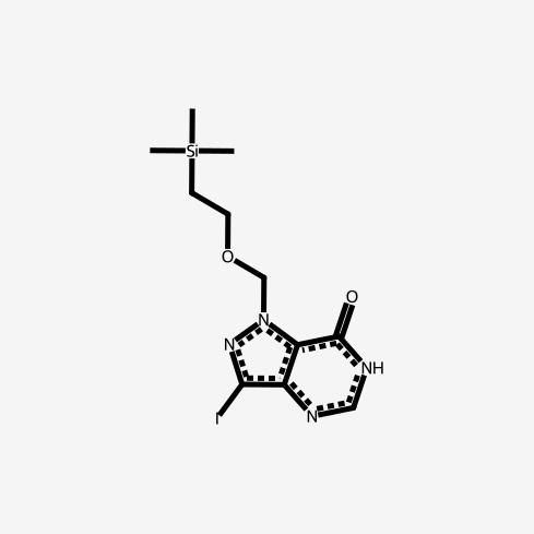 C[Si](C)(C)CCOCn1nc(I)c2nc[nH]c(=O)c21